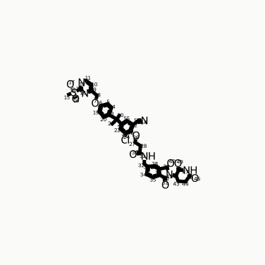 CC(C)(c1ccc(OCc2ccnc(S(C)(=O)=O)n2)cc1)c1cc(Cl)c(OCCC(=O)NCc2ccc3c(c2)C(=O)N(C2CCC(=O)NC2=O)C3=O)c(C#N)c1